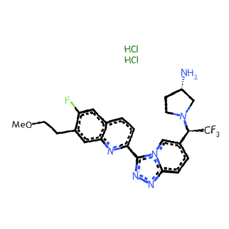 COCCc1cc2nc(-c3nnc4ccc([C@@H](N5CC[C@H](N)C5)C(F)(F)F)cn34)ccc2cc1F.Cl.Cl